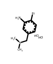 CCc1ccc(CN(C)C)cc1N.Cl.Cl